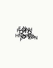 CC(=O)Nc1cc(Nc2ncc(C(F)(F)F)c(-c3c[nH]c4c(F)cccc34)n2)ccc1N1CC[C@H](N(C)C)C1